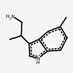 Cc1ccc2[nH]cc(C(C)CN)c2c1